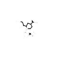 CC(C)(C)N.CCC(O)C1CC(C(=O)O)CCN1C